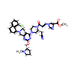 COC(=O)c1cn(/C=C/C(=O)N2CCN(c3nc(OC[C@@H]4CCCN4C)nc4c3CCN(c3cccc5cccc(Cl)c35)C4)C[C@@H]2CC#N)cn1